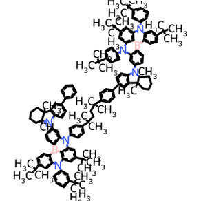 CC(C)(C)c1ccc(N2c3cc(N4c5ccc(-c6ccc(C(C)(C)CCC(C)(C)c7ccc(N8c9cc(N%10c%11ccc(-c%12ccccc%12)cc%11C%11(C)CCCCC%10%11C)ccc9B9c%10ccc(C(C)(C)C)cc%10N(c%10cccc(C(C)(C)C)c%10)c%10cc(C(C)(C)C)cc8c%109)cc7)cc6)cc5C5(C)CCCCC45C)ccc3B3c4ccc(C(C)(C)C)cc4N(c4cccc(C(C)(C)C)c4)c4cc(C(C)(C)C)cc2c43)cc1